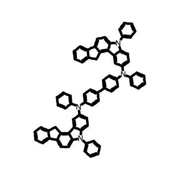 c1ccc(N(c2ccc(-c3ccc(N(c4ccccc4)c4ccc5c(c4)c4c6c(ccc4n5-c4ccccc4)-c4ccccc4C6)cc3)cc2)c2ccc3c(c2)c2c4c(ccc2n3-c2ccccc2)-c2ccccc2C4)cc1